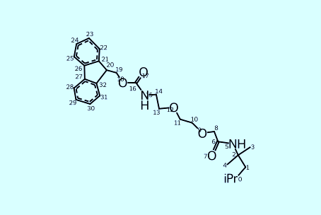 CC(C)CC(C)(C)NC(=O)COCCOCCNC(=O)OCC1c2ccccc2-c2ccccc21